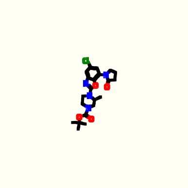 C[C@H]1CN(C(=O)OC(C)(C)C)CCN1c1nc2cc(Cl)cc(N3CCCC3=O)c2o1